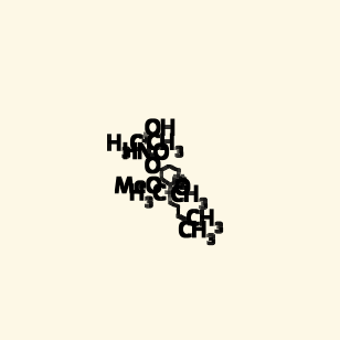 COC1C(OC(=O)NC(C)(C)CO)CC[C@]2(CO2)C1C(C)(C)CCC=C(C)C